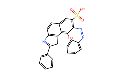 O=S(=O)(O)c1cc2ccc3c(c2c(O)c1/N=N\c1ccccc1)CC(c1ccccc1)=N3